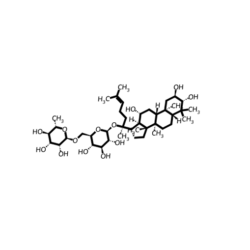 CC(C)=CCC[C@](C)(O[C@@H]1O[C@H](CO[C@@H]2O[C@@H](C)[C@H](O)[C@@H](O)[C@H]2O)[C@@H](O)[C@H](O)[C@H]1O)[C@H]1CC[C@]2(C)[C@@H]1[C@H](O)C[C@@H]1[C@@]3(C)C[C@@H](O)[C@H](O)C(C)(C)[C@@H]3CC[C@]12C